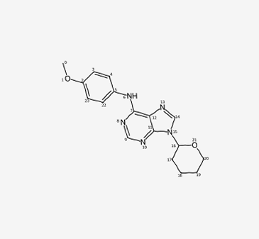 COc1ccc(Nc2ncnc3c2ncn3C2CCCCO2)cc1